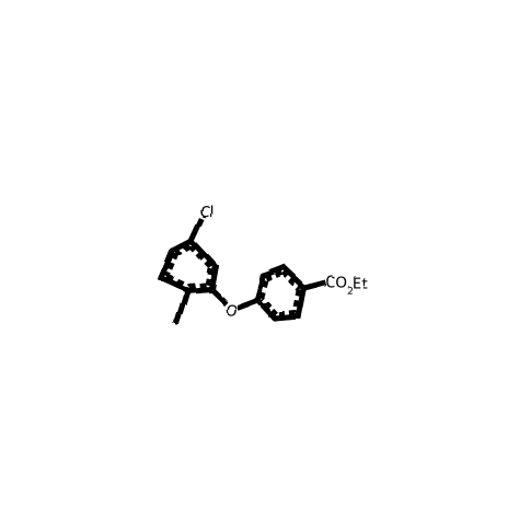 CCOC(=O)c1ccc(Oc2cc(Cl)ccc2C)cc1